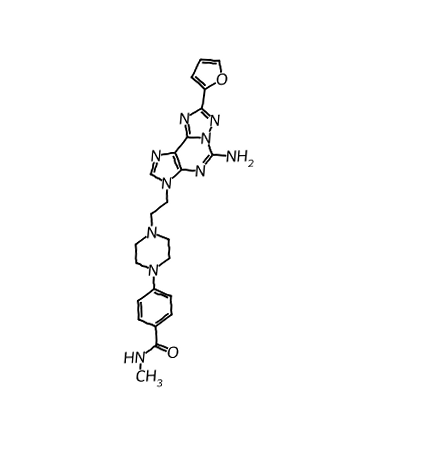 CNC(=O)c1ccc(N2CCN(CCn3cnc4c3nc(N)n3nc(-c5ccco5)nc43)CC2)cc1